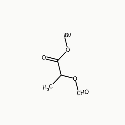 CCC(C)OC(=O)C(C)OC=O